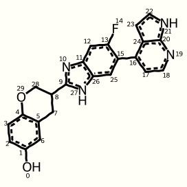 Oc1ccc2c(c1)CC(c1nc3cc(F)c(-c4ccnc5[nH]ccc45)cc3[nH]1)CO2